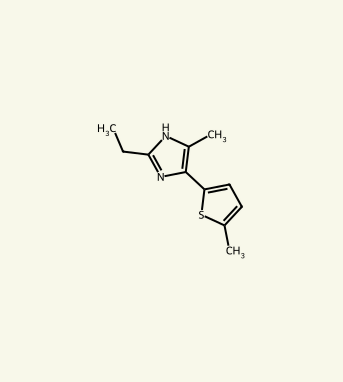 CCc1nc(-c2ccc(C)s2)c(C)[nH]1